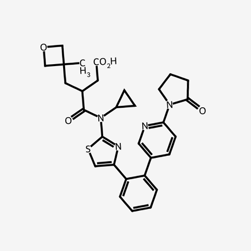 CC1(CC(CC(=O)O)C(=O)N(c2nc(-c3ccccc3-c3ccc(N4CCCC4=O)nc3)cs2)C2CC2)COC1